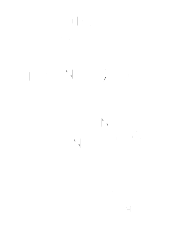 C[C@H](CN(C)C(=O)OC(C)(C)C)Cn1cnc2ccc(Br)cc2c1=O